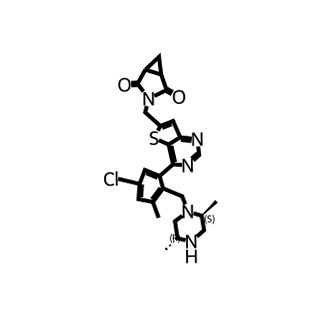 Cc1cc(Cl)cc(-c2ncnc3cc(CN4C(=O)C5CC5C4=O)sc23)c1CN1C[C@@H](C)NC[C@@H]1C